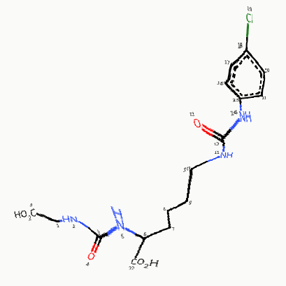 O=C(O)CNC(=O)NC(CCCCNC(=O)Nc1ccc(Cl)cc1)C(=O)O